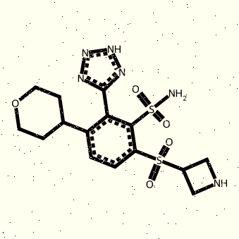 NS(=O)(=O)c1c(S(=O)(=O)C2CNC2)ccc(C2CCOCC2)c1-c1nn[nH]n1